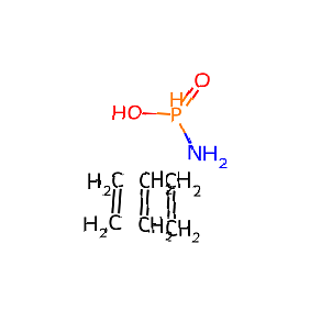 C=C.C=C.C=C.N[PH](=O)O